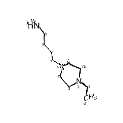 CCN1CCN(CCCC[NH])CC1